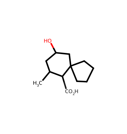 CC1CC(O)CC2(CCCC2)C1C(=O)O